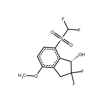 COc1ccc(S(=O)(=O)C(F)F)c2c1CC(F)(F)[C@H]2O